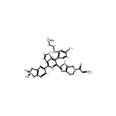 C=CC(=O)N1CCc2nc(-c3nc(-c4ccc5c(c4)CS(=O)(=O)C5)c4ccsc4c3-c3ccc(F)cc3OCCOC)sc2C1